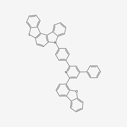 c1ccc(-c2cc(-c3ccc(-n4c5ccccc5c5c6c(ccc54)sc4ccccc46)cc3)nc(-c3cccc4c3oc3ccccc34)c2)cc1